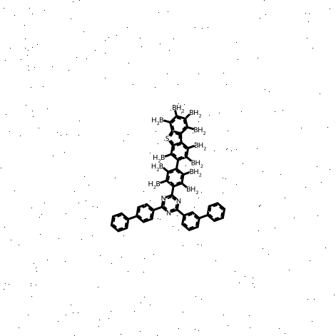 Bc1c(B)c(-c2c(B)c(B)c3c(sc4c(B)c(B)c(B)c(B)c43)c2B)c(B)c(B)c1-c1nc(-c2ccc(-c3ccccc3)cc2)nc(-c2cccc(-c3ccccc3)c2)n1